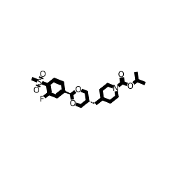 CC(C)OC(=O)N1CCC(C[C@H]2CO[C@H](c3ccc(S(C)(=O)=O)c(F)c3)OC2)CC1